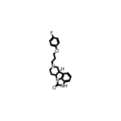 O=c1[nH]c2cccc3c2n1C1CCN(CCCOc2ccc(F)cc2)C[C@@H]31